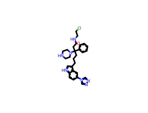 O=C(CC(CCCc1c[nH]c2ccc(-n3cnnc3)cc12)(c1ccccc1)N1CCNCC1)NCCCl